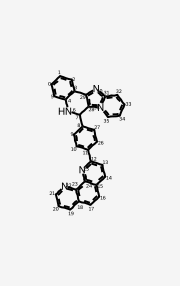 c1ccc2c(c1)NC(c1ccc(-c3ccc4ccc5cccnc5c4n3)cc1)c1c-2nc2ccccn12